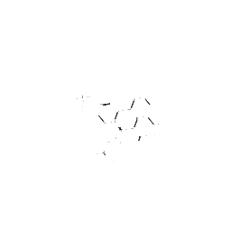 O=C(O)CNC(=O)c1c(=O)oc(O)c2cccc(-c3cccc(OC(F)(F)F)c3)c12